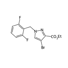 CCOC(=O)c1nn(Cc2c(F)cccc2F)cc1Br